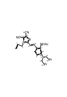 C=CCn1c(/N=N/c2ccc(N(CC(C)C)CC(C)C)cc2NC(C)=O)nc(C#N)c1C#N